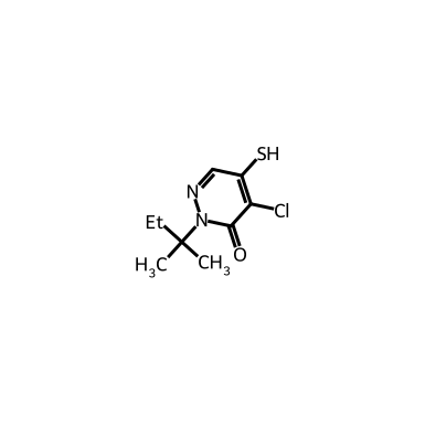 CCC(C)(C)n1ncc(S)c(Cl)c1=O